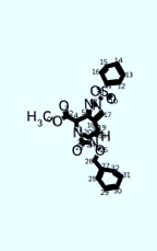 COC(=O)C1c2nn(S(=O)(=O)c3ccccc3)cc2[C@H]2CN1C(=O)N2OCc1ccccc1